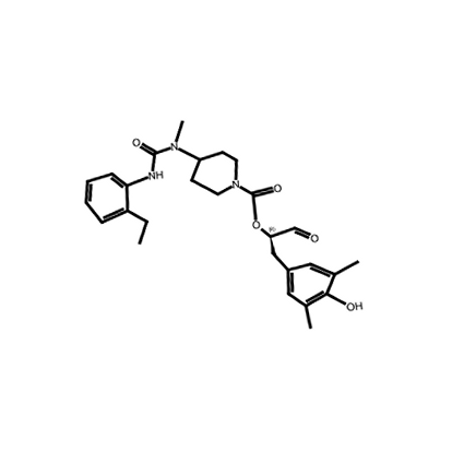 CCc1ccccc1NC(=O)N(C)C1CCN(C(=O)O[C@@H](C=O)Cc2cc(C)c(O)c(C)c2)CC1